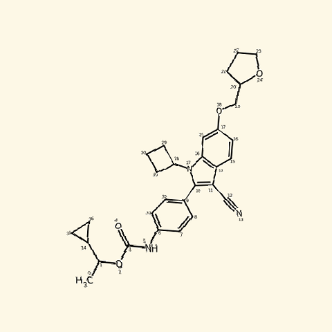 CC(OC(=O)Nc1ccc(-c2c(C#N)c3ccc(OCC4CCCO4)cc3n2C2CCC2)cc1)C1CC1